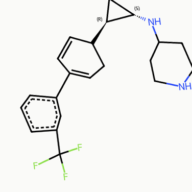 FC(F)(F)c1cccc(C2=CCC([C@H]3C[C@@H]3NC3CCNCC3)C=C2)c1